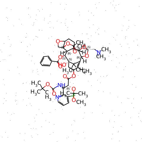 COC(C)(C)O[C@@H](C(=O)O[C@H]1C[C@@]2(O)[C@@H](OC(=O)c3ccccc3)[C@H]3[C@@](C)(CCC4OC[C@]43OC(C)=O)[C@@H]3O[C@H](CN(C)C)O[C@@H]3C(=C1C)C2(C)C)[C@H](NC(=O)OC(C)(C)C)c1ncccc1F